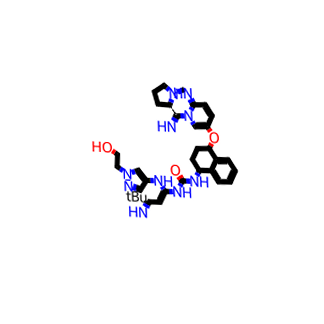 CN1CCC[C@H]1C(=N)n1cc(OC2CCC(NC(=O)N/C(=C/C(=N)C(C)(C)C)Nc3cnn(CCO)c3)c3ccccc32)ccc1=N